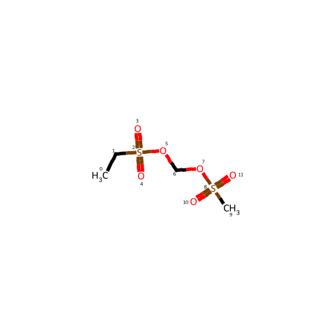 CCS(=O)(=O)OCOS(C)(=O)=O